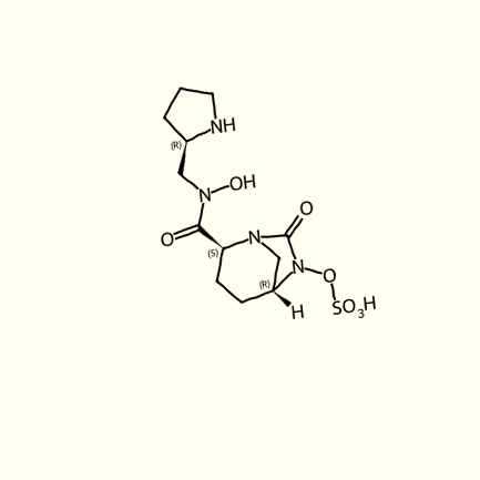 O=C([C@@H]1CC[C@@H]2CN1C(=O)N2OS(=O)(=O)O)N(O)C[C@H]1CCCN1